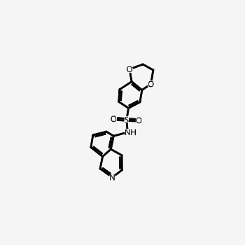 O=S(=O)(Nc1cccc2cnccc12)c1ccc2c(c1)OCCO2